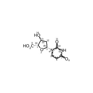 O=C(O)[C@H]1O[C@@H](n2ccc(=O)[nH]c2=O)C[C@@H]1O